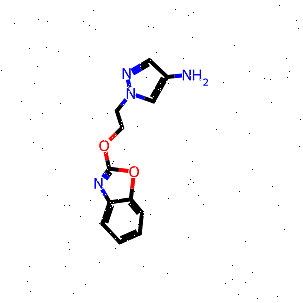 Nc1cnn(CCOc2nc3ccccc3o2)c1